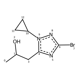 CC(O)Cc1nc(Br)nn1C1CC1